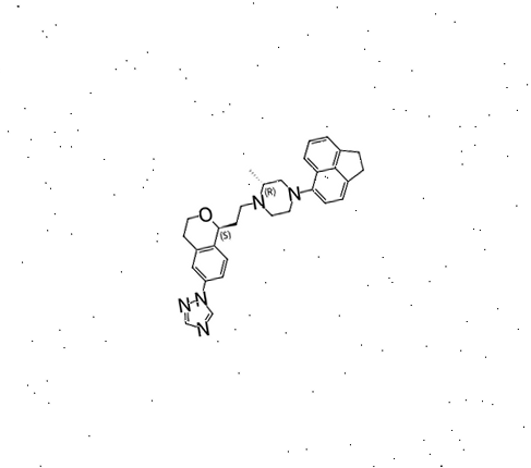 C[C@@H]1CN(c2ccc3c4c(cccc24)CC3)CCN1CC[C@@H]1OCCc2cc(-n3cncn3)ccc21